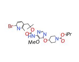 COc1c(NC(=O)OC(C)(C)Cc2ccc(Br)nc2C)ncnc1OC1CCN(C(=O)OC(C)C)CC1